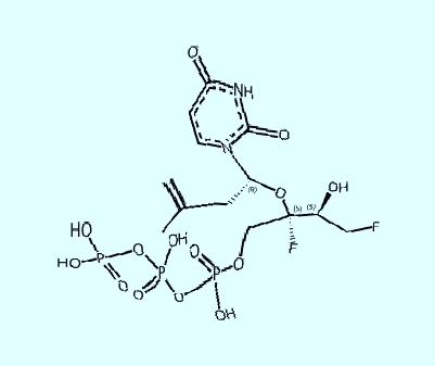 C=C(C)C[C@@H](O[C@](F)(COP(=O)(O)OP(=O)(O)OP(=O)(O)O)[C@@H](O)CF)n1ccc(=O)[nH]c1=O